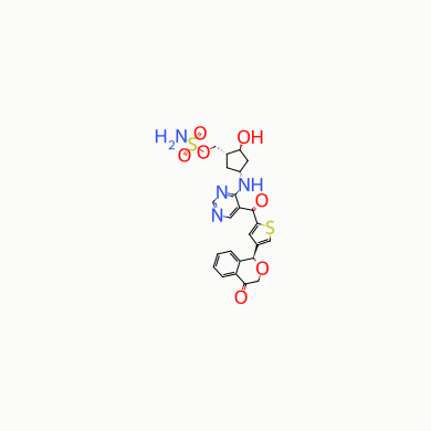 NS(=O)(=O)OC[C@H]1C[C@@H](Nc2ncncc2C(=O)c2cc([C@H]3OCC(=O)c4ccccc43)cs2)C[C@@H]1O